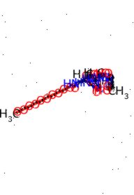 COCCOCCOCCOCCOCCOCCOCCOCCOCCOCC(=O)NCCCC[C@H](NC(=O)CCCN1C(=O)C=CC1=O)C(=O)N[C@@H](C)C(=O)N[C@@H](C)C(=O)N[C@@H](C)C(=O)Nc1cc(C[C@H](N)C[C@H](C)C(=O)O)ccc1O